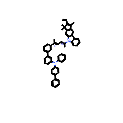 C=CC1=C(C)c2cc3c4ccccc4n(/C(C)=C/C=C(\C)c4cccc(-c5cccc(N(c6ccccc6)c6ccc(-c7ccccc7)cc6)c5)c4)c3cc2C1(C)C